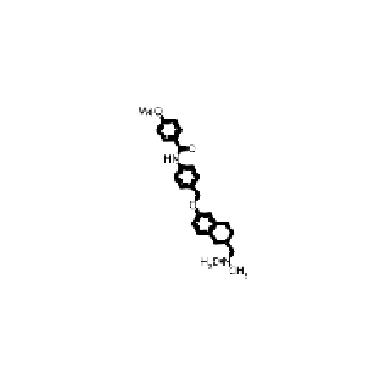 COc1ccc(C(=O)Nc2ccc(COc3ccc4c(c3)CCC(CN(C)C)C4)cc2)cc1